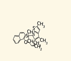 C=CCOc1c([Si](C)(C)C2C(C)=C(C)c3cc(C)sc32)ccc2ccccc12